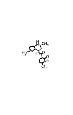 Cc1ccc2c(c1)[C@H](NC(=O)c1ccc(C(F)(F)F)[nH]c1=O)C[C@@H](C)N2